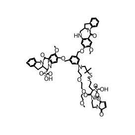 COCCOCCOCCN(CC(C)(C)SSCCC(C(=O)NCCN1C(=O)C=CC1=O)S(=O)(=O)O)c1cc(COc2cc3c(cc2OC)C(=O)N2c4ccccc4CC2CN3)cc(COc2cc3c(cc2OC)C(=O)N2c4ccccc4CC2C(S(=O)(=O)O)N3)c1